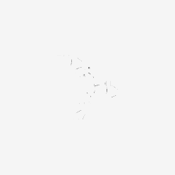 CCC(CC)Oc1cc(O)ccc1S(=O)(=O)NC[C@@H](O)[C@H](Cc1ccccc1)NC(=O)Oc1ccoc1